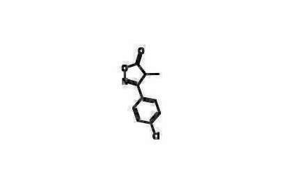 CC1C(=O)ON=C1c1ccc(Cl)cc1